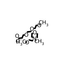 COCCOCCOCCC(=O)[O-].COCC[N+]1(C)CCOCC1